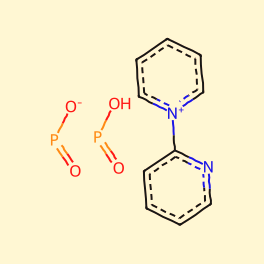 O=PO.O=P[O-].c1cc[n+](-c2ccccn2)cc1